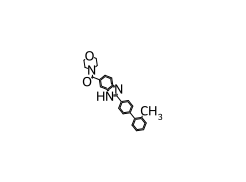 Cc1ccccc1-c1ccc(-c2nc3ccc(C(=O)N4CCOCC4)cc3[nH]2)cc1